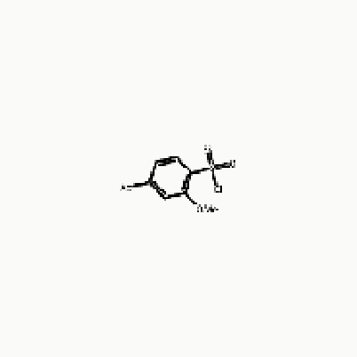 COc1cc(C(C)=O)ccc1S(=O)(=O)Cl